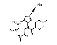 C=C([C@H](COC)N(C(=O)C1CCC(C)CC1)c1cc(C#CC(C)(C)C)sc1C(=O)O)N(C)C